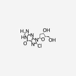 Nc1nc2c(nc(Cl)n2[C@H]2C[C@H](O)[C@@H](CO)O2)c(=O)[nH]1